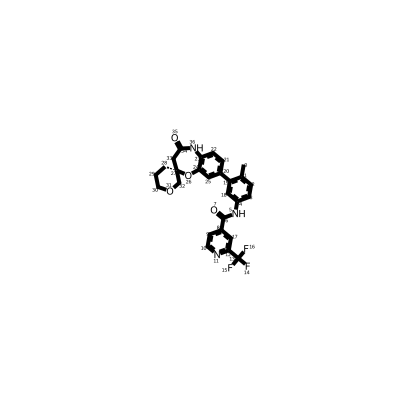 Cc1ccc(NC(=O)c2ccnc(C(F)(F)F)c2)cc1-c1ccc2c(c1)O[C@]1(CCCOC1)CC(=O)N2